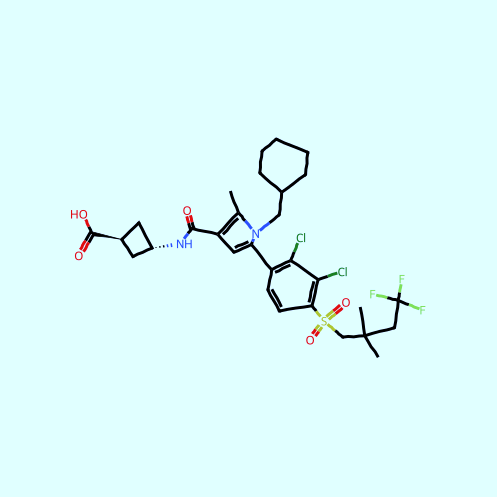 Cc1c(C(=O)N[C@H]2C[C@H](C(=O)O)C2)cc(-c2ccc(S(=O)(=O)CC(C)(C)CC(F)(F)F)c(Cl)c2Cl)n1CC1CCCCC1